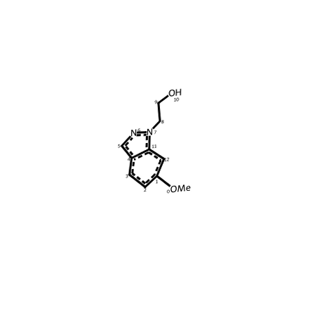 COc1ccc2cnn(CCO)c2c1